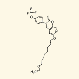 C=COCCCCCCCCOc1cc2cc(-c3ccc(OC(F)(F)F)cc3)c(=O)oc2cn1